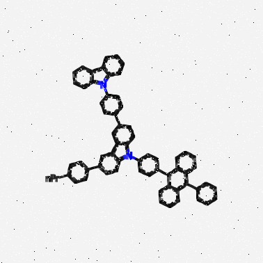 CCCc1ccc(-c2ccc3c(c2)c2cc(-c4ccc(-n5c6ccccc6c6ccccc65)cc4)ccc2n3-c2ccc(-c3c4ccccc4c(-c4ccccc4)c4ccccc34)cc2)cc1